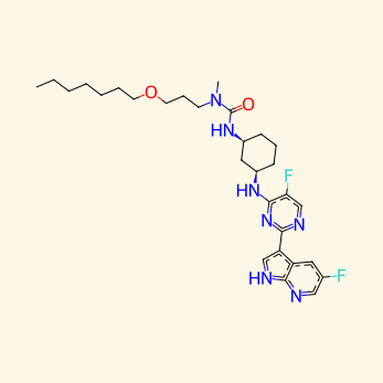 CCCCCCCOCCCN(C)C(=O)N[C@H]1CCC[C@@H](Nc2nc(-c3c[nH]c4ncc(F)cc34)ncc2F)C1